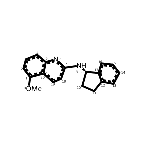 COc1cccc2nc(N[C@@H]3CCc4ccccc43)ccc12